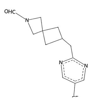 O=CN1CC2(CC(Cc3ncc(C(F)(F)F)cn3)C2)C1